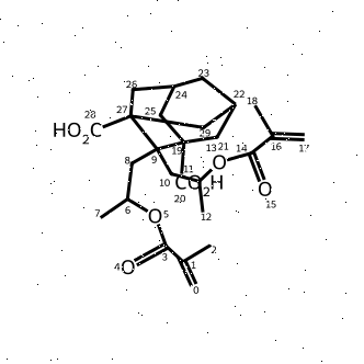 C=C(C)C(=O)OC(C)CC1(CC(C)OC(=O)C(=C)C)C2(C(=O)O)CC3CC(C2)CC1(C(=O)O)C3